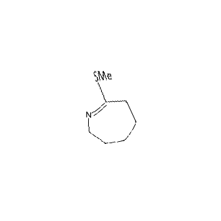 CSC1=NCCCCC1